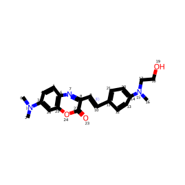 CN(C)c1ccc2nc(/C=C/c3ccc(N(C)CCO)cc3)c(=O)oc2c1